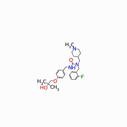 CN1CCC(CN(Cc2ccccc2F)C(=O)NCc2ccc(OCC(C)(C)O)cc2)CC1